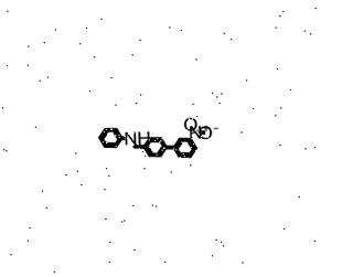 O=[N+]([O-])c1cccc(-c2ccc(CNc3ccccc3)cc2)c1